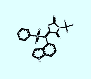 O=C1SC(=C(c2cccc3[nH]ccc23)S(=O)(=O)c2ccccc2)C(=O)N1C(F)(F)F